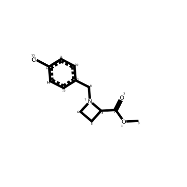 COC(=O)C1CCN1Cc1ccc(Cl)cc1